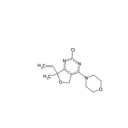 C=CC1(C)OCc2c(N3CCOCC3)nc(Cl)nc21